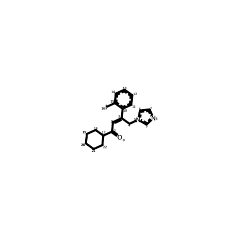 O=C(C=C(Cn1ccnc1)c1ccccc1I)C1CCCCC1